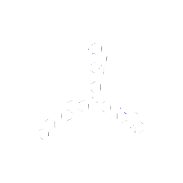 c1ccc2cc(-c3ccc4c(ccc5cc(N(c6ccc(-c7ccc8c(ccc9cccnc98)n7)cc6)c6ccc(-c7ccc8c(ccc9cccnc98)n7)cc6)ccc54)c3)ccc2c1